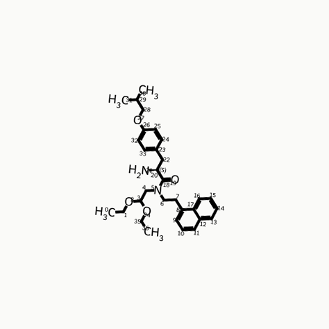 CCOC(CN(CCc1cccc2ccccc12)C(=O)[C@@H](N)Cc1ccc(OCC(C)C)cc1)OCC